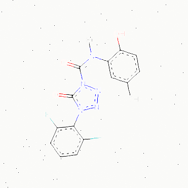 CCN(C(=O)n1nnn(-c2c(F)cccc2F)c1=O)c1cc(C)ccc1O